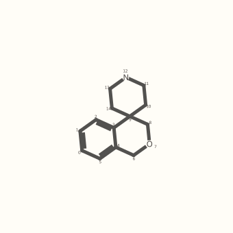 c1ccc2c(c1)COCC21CC[N]CC1